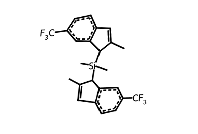 CC1=Cc2ccc(C(F)(F)F)cc2C1[Si](C)(C)C1C(C)=Cc2ccc(C(F)(F)F)cc21